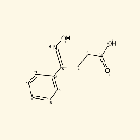 O=C(O)CCC(=NO)c1ccccc1